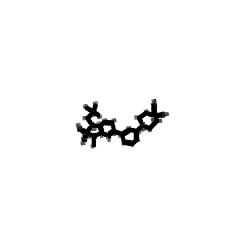 CN1c2nc(-c3cccc(N4CCS(=O)(=O)CC4)c3)ccc2N(CC(C)(C)C)S1(=O)=O